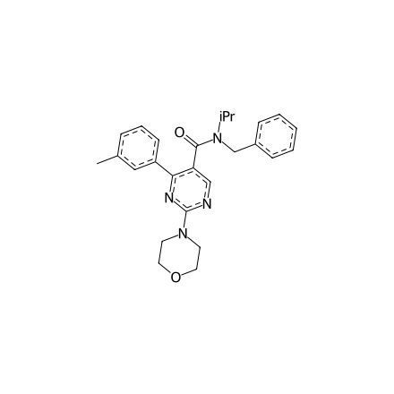 Cc1cccc(-c2nc(N3CCOCC3)ncc2C(=O)N(Cc2ccccc2)C(C)C)c1